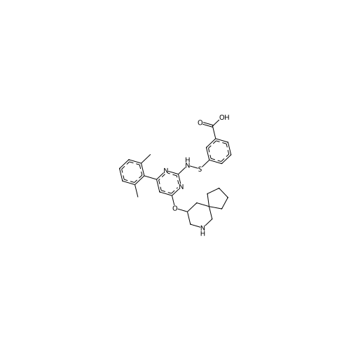 Cc1cccc(C)c1-c1cc(OC2CNCC3(CCCC3)C2)nc(NSc2cccc(C(=O)O)c2)n1